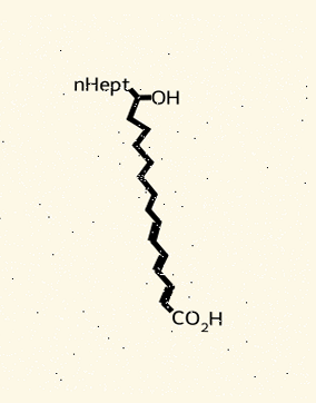 CCCCCCCC(O)CCCCCCCC=CC=CC=CC(=O)O